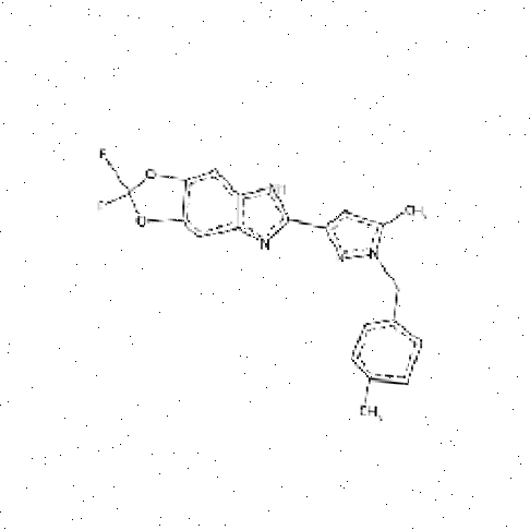 Cc1ccc(Cn2nc(-c3nc4cc5c(cc4[nH]3)OC(F)(F)O5)cc2C)cc1